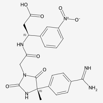 C[C@@]1(c2ccc(C(=N)N)cc2)NC(=O)N(CC(=O)N[C@@H](CC(=O)O)c2cccc([N+](=O)[O-])c2)C1=O